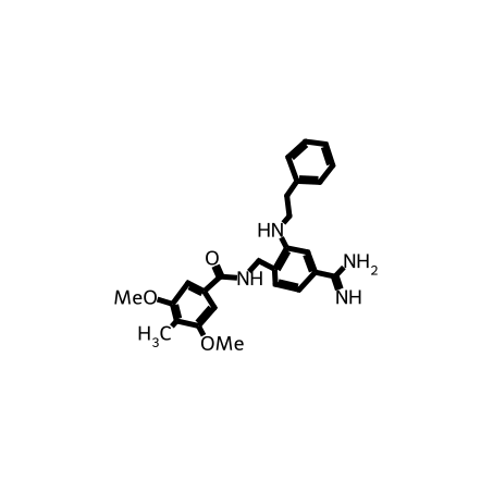 COc1cc(C(=O)NCc2ccc(C(=N)N)cc2NCCc2ccccc2)cc(OC)c1C